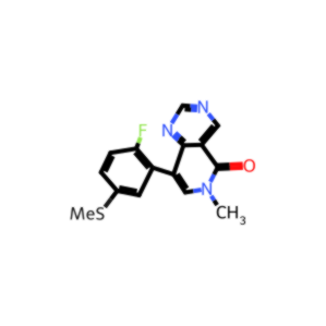 CSc1ccc(F)c(-c2cn(C)c(=O)c3cncnc23)c1